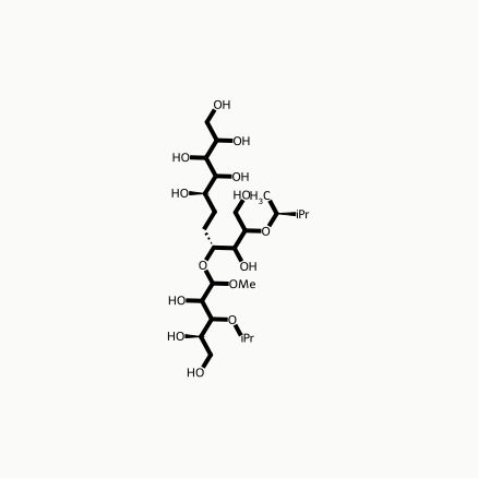 COC(O[C@H](CC[C@@H](O)C(O)C(O)C(O)CO)C(O)C(CO)O[C@@H](C)C(C)C)C(O)C(OC(C)C)[C@H](O)CO